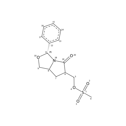 CS(=O)(=O)OCC1CC2CO[C@H](c3ccccc3)N2C1=O